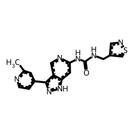 Cc1cc(-c2n[nH]c3cc(NC(=O)NCc4cnsc4)ncc23)ccn1